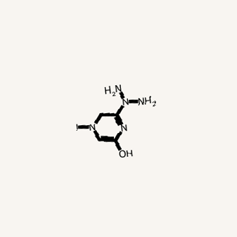 NN(N)C1=NC(O)=CN(I)C1